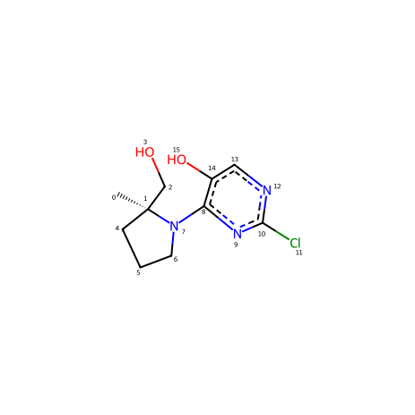 C[C@@]1(CO)CCCN1c1nc(Cl)ncc1O